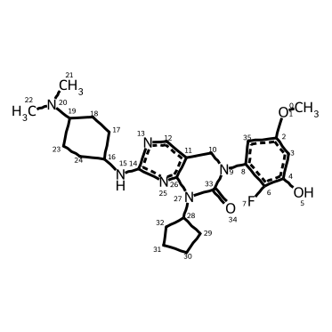 COc1cc(O)c(F)c(N2Cc3cnc(NC4CCC(N(C)C)CC4)nc3N(C3CCCC3)C2=O)c1